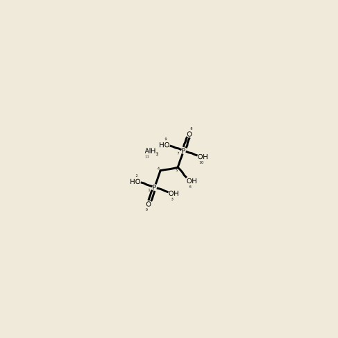 O=P(O)(O)CC(O)P(=O)(O)O.[AlH3]